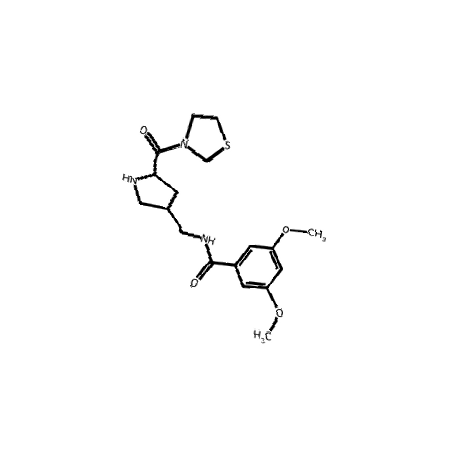 COc1cc(OC)cc(C(=O)NCC2CNC(C(=O)N3CCSC3)C2)c1